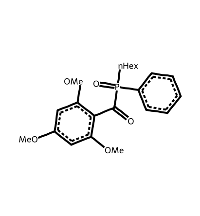 CCCCCCP(=O)(C(=O)c1c(OC)cc(OC)cc1OC)c1ccccc1